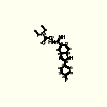 CCN(CC)C(=O)ONC(=N)c1ccc2[nH]c(-c3ccc(F)cc3)nc2c1